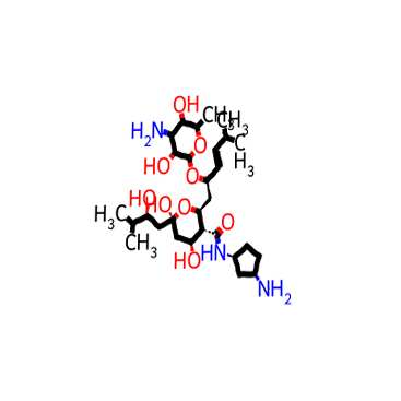 CC(C)/C=C/[C@@H](C[C@@H]1O[C@](O)(C[C@@H](O)C(C)C)C[C@H](O)[C@H]1C(=O)N[C@@H]1CC[C@@H](N)C1)OC1OC(C)C(O)C(N)C1O